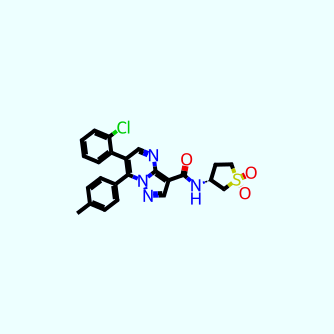 Cc1ccc(-c2c(-c3ccccc3Cl)cnc3c(C(=O)N[C@@H]4CCS(=O)(=O)C4)cnn23)cc1